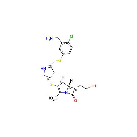 C[C@H]1C(S[C@@H]2CN[C@H](CSc3ccc(Cl)c(CN)c3)C2)=C(C(=O)O)N2C(=O)[C@@H](CCO)[C@@H]12